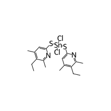 CCc1c(C)cc([S][Sn]([Cl])([Cl])[S]c2cc(C)c(CC)c(C)n2)nc1C